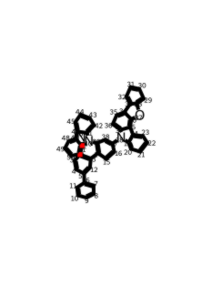 N#Cc1ccc(-c2ccccc2)cc1-c1ccc(-n2c3ccccc3c3c4oc5ccccc5c4ccc32)cc1-n1c2ccccc2c2ccccc21